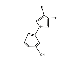 Oc1[c]ccc(-n2cc(F)c(F)c2)c1